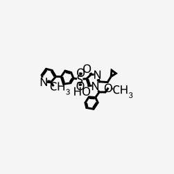 COCC(c1ccccc1)n1c(CC2CC2)nc(=O)c(S(=O)(=O)c2ccc(-c3cccnc3C)cc2)c1O